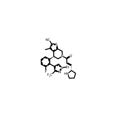 CCn1cc(-c2c(F)cccc2[C@@H]2CN(C(=O)/C=C/[C@@H]3CCCN3)Cc3sc(C#N)c(C)c32)c(C(F)(F)F)n1